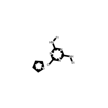 CCNc1nc(Cl)nc(NCC)n1.c1ccsc1